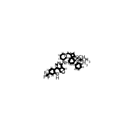 CC(C)(C)[Si](OC1CC(CN2CCC[C@@H](Nc3nnc(-c4ccc(C(F)(F)F)cc4O)c4c3COC4)C2)C1)(c1ccccc1)c1ccccc1